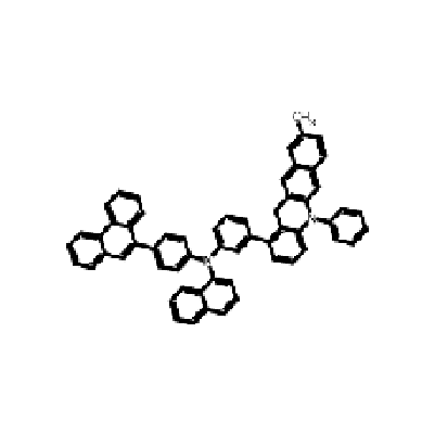 Cc1ccc2cc3c(cc2c1)Cc1c(-c2cccc(N(c4ccc(-c5cc6ccccc6c6ccccc56)cc4)c4cccc5ccccc45)c2)cccc1N3c1ccccc1